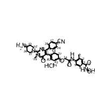 Cc1cc(C(=O)NO)ccc1NC(=O)COc1ccc(-c2c(-c3ccc(C#N)cc3)nc(N3CCC(N)CC3)n(C)c2=O)cc1.Cl